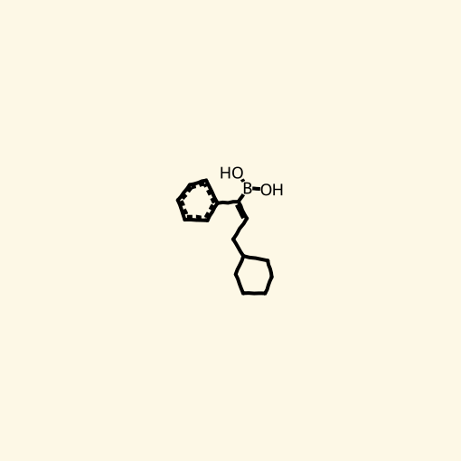 OB(O)C(=CCC1CCCCC1)c1ccccc1